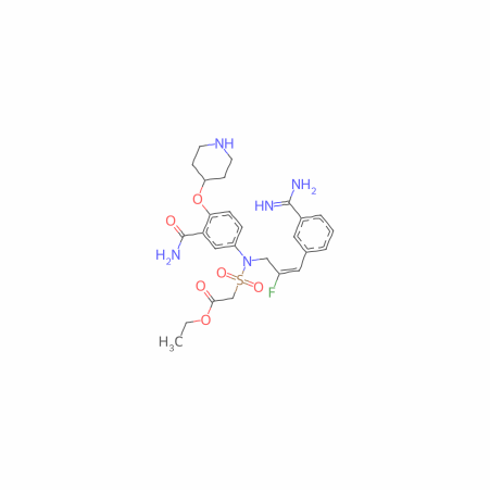 CCOC(=O)CS(=O)(=O)N(C/C(F)=C\c1cccc(C(=N)N)c1)c1ccc(OC2CCNCC2)c(C(N)=O)c1